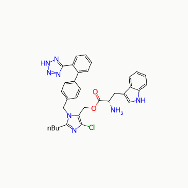 CCCCc1nc(Cl)c(COC(=O)[C@@H](N)Cc2c[nH]c3ccccc23)n1Cc1ccc(-c2ccccc2-c2nn[nH]n2)cc1